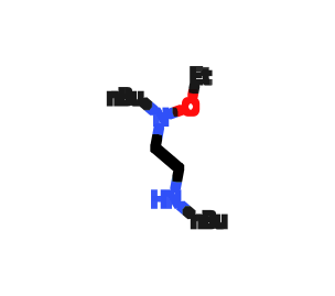 CCCCNCCN(CCCC)OCC